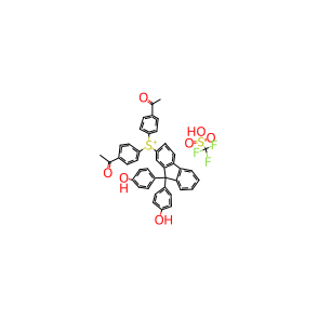 CC(=O)c1ccc([S+](c2ccc(C(C)=O)cc2)c2ccc3c(c2)C(c2ccc(O)cc2)(c2ccc(O)cc2)c2ccccc2-3)cc1.O=S(=O)(O)C(F)(F)F